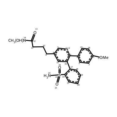 COc1ccc(-c2ncc(CCCC(=O)N(C)O)cc2-c2ccccc2S(N)(=O)=O)cc1